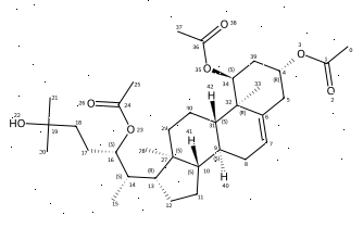 CC(=O)O[C@@H]1CC2=CC[C@H]3[C@@H]4CC[C@H]([C@H](C)[C@H](CCC(C)(C)O)OC(C)=O)[C@@]4(C)CC[C@@H]3[C@@]2(C)[C@@H](OC(C)=O)C1